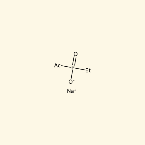 CCP(=O)([O-])C(C)=O.[Na+]